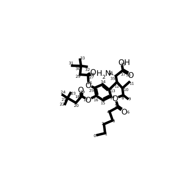 CCCCCC(=O)OC(C)C(C)C(c1ccc(OC(=O)CC(C)(C)C)c(OC(=O)CC(C)(C)C)c1)[C@H](N)C(=O)O